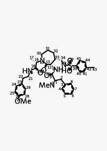 CN[C@H](Cc1ccccc1)C(=O)N[C@@H]1C(=O)N([C@@H](C)C(=O)NCCc2ccc(OC)cc2)CCC[C@@H]1CNS(=O)(=O)c1ccc(C)cc1